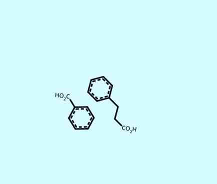 O=C(O)CCc1ccccc1.O=C(O)c1ccccc1